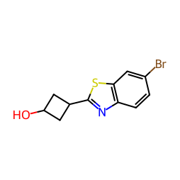 OC1CC(c2nc3ccc(Br)cc3s2)C1